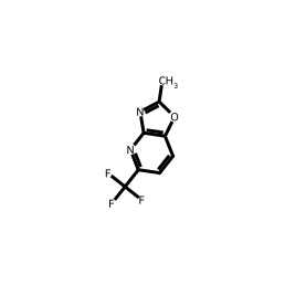 Cc1nc2nc(C(F)(F)F)ccc2o1